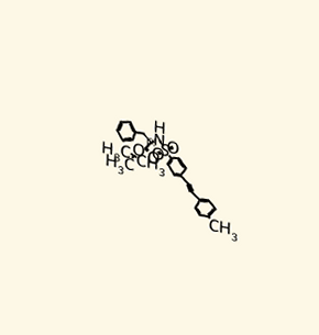 Cc1ccc(C#Cc2ccc(S(=O)(=O)N[C@H](Cc3ccccc3)C(=O)OC(C)(C)C)cc2)cc1